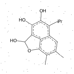 Cc1cc2c(C(C)C)c(O)c(O)c3c2c(c1C)OC3O